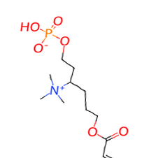 C=CC(=O)OCCCC(CCOP(=O)([O-])O)[N+](C)(C)C